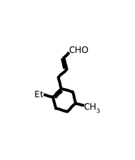 CCC1=C(CC=CC=O)CC(C)CC1